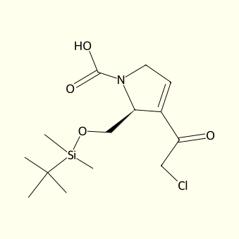 CC(C)(C)[Si](C)(C)OC[C@@H]1C(C(=O)CCl)=CCN1C(=O)O